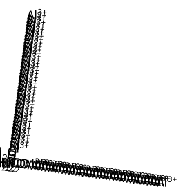 O.O.O.O.O.O.O.O.[Al+3].[Al+3].[Al+3].[Al+3].[Al+3].[Al+3].[Al+3].[Al+3].[Al+3].[Al+3].[Al+3].[Al+3].[Al+3].[Al+3].[Al+3].[Al+3].[Al+3].[Al+3].[Al+3].[Al+3].[Al+3].[Al+3].[Al+3].[Al+3].[Al+3].[Al+3].[Al+3].[Al+3].[Al+3].[Al+3].[Al+3].[Al+3].[Al+3].[Al+3].[Al+3].[Al+3].[Al+3].[Al+3].[Al+3].[Al+3].[Al+3].[Al+3].[Al+3].[Al+3].[Al+3].[Al+3].[Al+3].[Al+3].[Al+3].[Al+3].[Al+3].[Al+3].[Al+3].[Al+3].[Al+3].[Al+3].[Al+3].[Al+3].[Al+3].[Al+3].[Al+3].[Al+3].[Al+3].[Al+3].[Al+3].[Al+3].[Al+3].[Al+3].[Al+3].[Al+3].[Al+3].[Al+3].[Al+3].[Al+3].[Al+3].[Al+3].[Al+3].[Al+3].[Al+3].[Al+3]